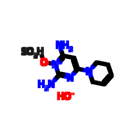 Nc1cc(N2CC=CCC2)nc(N)[n+]1OS(=O)(=O)O.[OH-]